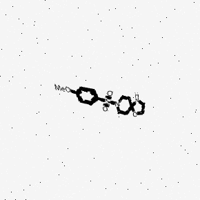 COc1ccc(S(=O)(=O)N2CCC3(CC2)NCCO3)cc1